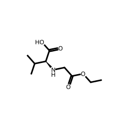 CCOC(=O)CN[C@H](C(=O)O)C(C)C